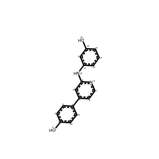 Oc1ccc(-c2ccnc(Nc3cccc(O)c3)c2)cc1